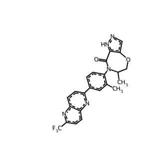 Cc1cc(-c2ccc3nc(C(F)(F)F)ccc3n2)ccc1N1C(=O)c2[nH]ncc2OCC1C